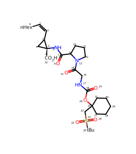 CCCCCC/C=C\C1C[C@]1(NC(=O)C1CCCN1C(=O)CNC(=O)OC1(CS(=O)(=O)C(C)(C)C)CCCCC1)C(=O)O